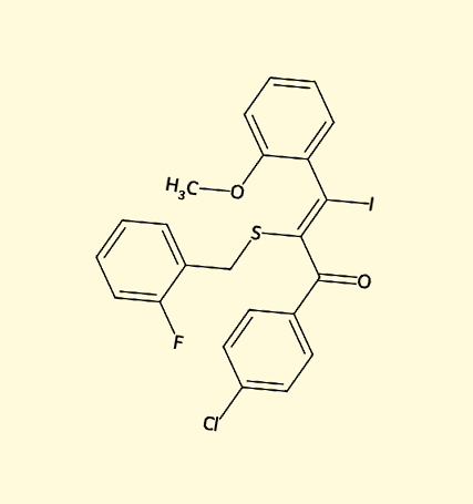 COc1ccccc1C(I)=C(SCc1ccccc1F)C(=O)c1ccc(Cl)cc1